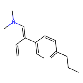 C=CC(=C\N(C)C)/C(/C=C\C(=C)CCC)=C/C